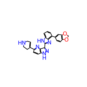 C1=C(c2ccc3[nH]nc(-c4nc5c(-c6ccc7c(c6)OCO7)cccc5[nH]4)c3n2)CCNC1